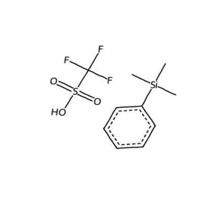 C[Si](C)(C)c1ccccc1.O=S(=O)(O)C(F)(F)F